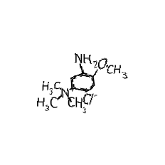 COc1ccc([N+](C)(C)C)cc1N.[Cl-]